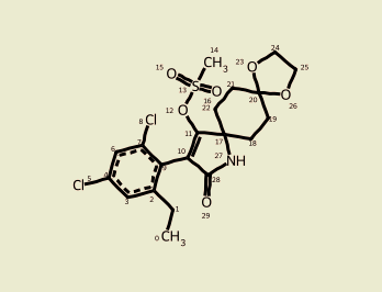 CCc1cc(Cl)cc(Cl)c1C1=C(OS(C)(=O)=O)C2(CCC3(CC2)OCCO3)NC1=O